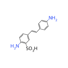 Nc1ccc(C=Cc2ccc(N)c(S(=O)(=O)O)c2)cc1